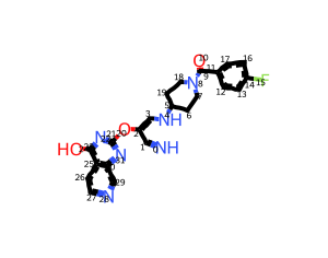 N=C/C(=C\NC1CCN(C(=O)c2ccc(F)cc2)CC1)Oc1nc(O)c2ccncc2n1